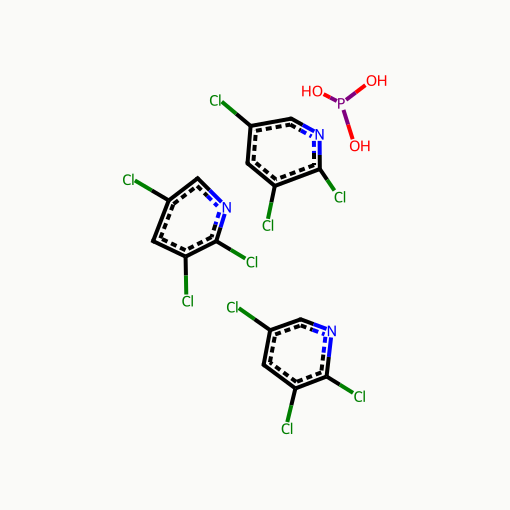 Clc1cnc(Cl)c(Cl)c1.Clc1cnc(Cl)c(Cl)c1.Clc1cnc(Cl)c(Cl)c1.OP(O)O